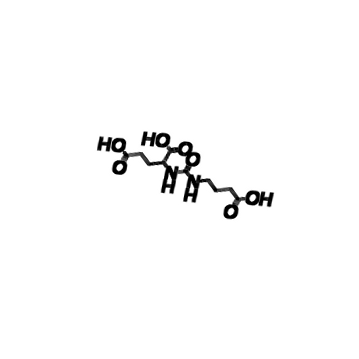 O=C(O)CCCNC(=O)NC(CCC(=O)O)C(=O)O